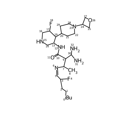 CCC(C)CCC(F)/C=N\C(C)C(C(=O)NC1CNCC(F)C1C1CCN(C2COC2)CC1)C(N)N